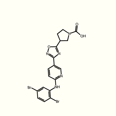 O=C(O)N1CCC(c2nc(-c3ccc(Nc4cc(Br)ccc4Br)nc3)no2)C1